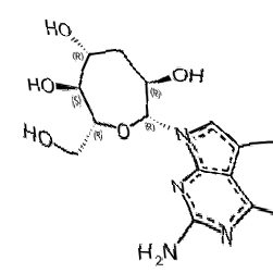 Cc1cn([C@@H]2O[C@H](CO)[C@@H](O)[C@H](O)C[C@H]2O)c2nc(N)nc(Cl)c12